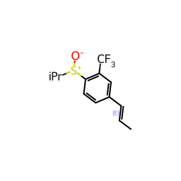 C/C=C/c1ccc([S+]([O-])C(C)C)c(C(F)(F)F)c1